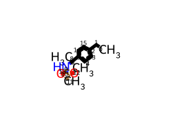 CCc1ccc(C(C)(C)NS(C)(=O)=O)cc1